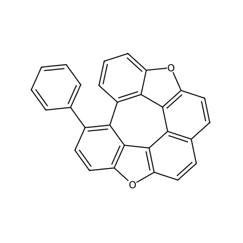 c1ccc(-c2ccc3oc4ccc5ccc6oc7cccc8c7c6c5c4c3c2-8)cc1